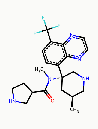 C[C@@H]1CNC[C@@](c2ccc(C(F)(F)F)c3nccnc23)(N(C)C(=O)C2CCNC2)C1